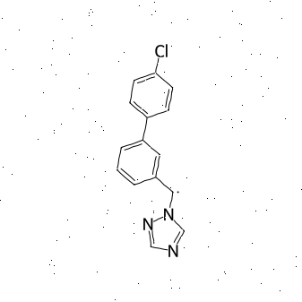 Clc1ccc(-c2cccc([CH]n3cncn3)c2)cc1